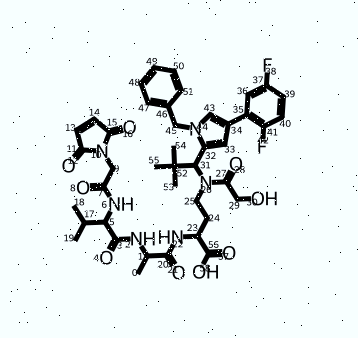 CC(NC(=O)C(NC(=O)CN1C(=O)C=CC1=O)C(C)C)C(=O)NC(CCN(C(=O)CO)C(c1cc(-c2cc(F)ccc2F)cn1Cc1ccccc1)C(C)(C)C)C(=O)O